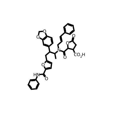 CC(C(Cc1ccc(C(=O)Nc2ccccc2)o1)c1ccc2c(c1)OCO2)N(C/C=C/c1ccccc1)C(=O)C1OC(=O)CC1C(=O)O